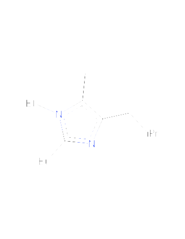 CCc1nc(CC(C)C)c(C)n1CC